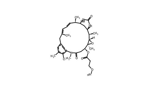 CCCOCCC(=O)O[C@H]1CC(=O)N(C)c2cc(cc(C)c2Cl)C/C(C)=C/C=C/[C@@H](C)[C@@]2(O)C[C@H](OC(=O)N2)[C@@H](C)[C@@H]2O[C@@]12C